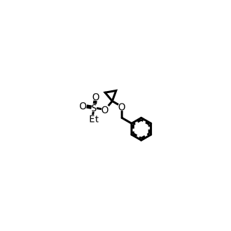 CCS(=O)(=O)OC1(OCc2ccccc2)CC1